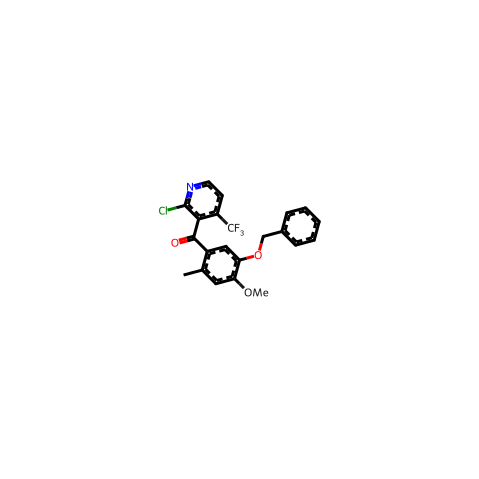 COc1cc(C)c(C(=O)c2c(C(F)(F)F)ccnc2Cl)cc1OCc1ccccc1